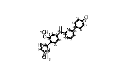 COc1cc(Nc2nccc(-c3ccc(Cl)cc3)n2)ccc1-c1nc(C)c[nH]1